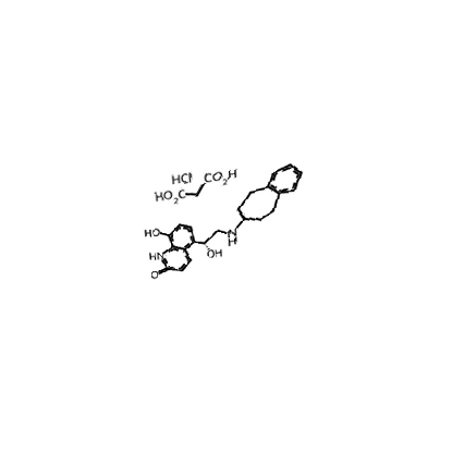 Cl.O=C(O)CC(=O)O.O=c1ccc2c([C@@H](O)CNC3CCc4ccccc4CC3)ccc(O)c2[nH]1